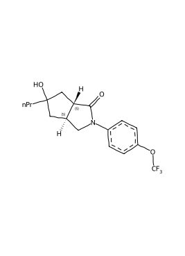 CCCC1(O)C[C@@H]2CN(c3ccc(OC(F)(F)F)cc3)C(=O)[C@H]2C1